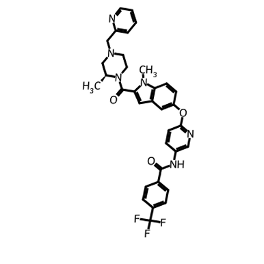 C[C@H]1CN(Cc2ccccn2)CCN1C(=O)c1cc2cc(Oc3ccc(NC(=O)c4ccc(C(F)(F)F)cc4)cn3)ccc2n1C